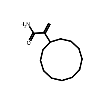 C=C(C(N)=O)C1CCCCCCCCCCC1